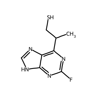 CC(CS)c1nc(F)nc2[nH]cnc12